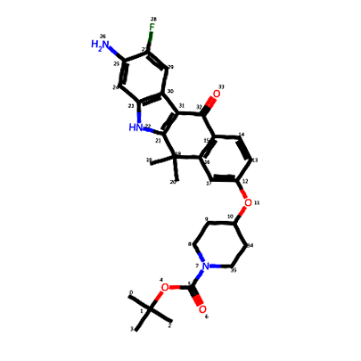 CC(C)(C)OC(=O)N1CCC(Oc2ccc3c(c2)C(C)(C)c2[nH]c4cc(N)c(F)cc4c2C3=O)CC1